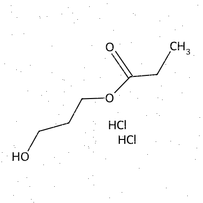 CCC(=O)OCCCO.Cl.Cl